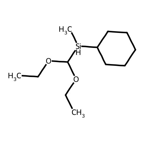 CCOC(OCC)[SiH](C)C1CCCCC1